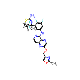 Cc1nc(COc2cnc3c(Nc4cc(F)c(F)c([C@]5(C)N=C(N)S[C@@]6(C(F)F)C[C@@H]56)c4)nccc3n2)co1